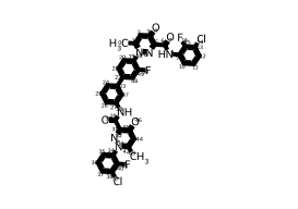 Cc1cc(=O)c(C(=O)Nc2cccc(Cl)c2F)nn1-c1ccc(-c2cccc(NC(=O)c3nn(-c4cccc(Cl)c4F)c(C)cc3=O)c2)cc1F